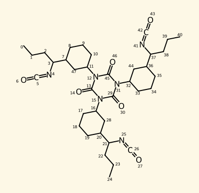 CCCC(N=C=O)C1CCCC(n2c(=O)n(C3CCCC(C(CCC)N=C=O)C3)c(=O)n(C3CCCC(C(CCC)N=C=O)C3)c2=O)C1